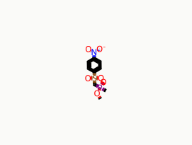 COP(C)(=O)CS(=O)(=O)c1ccc([N+](=O)[O-])cc1